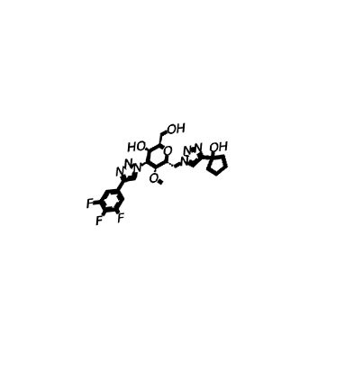 CO[C@@H]1[C@@H](n2cc(-c3cc(F)c(F)c(F)c3)nn2)[C@@H](O)[C@@H](CO)O[C@@H]1Cn1cc(C2(O)CCCC2)nn1